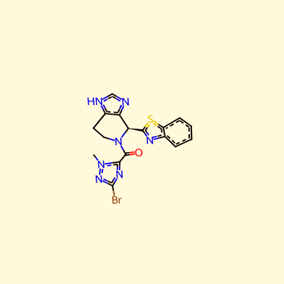 Cn1nc(Br)nc1C(=O)N1CCc2[nH]cnc2[C@H]1c1nc2ccccc2s1